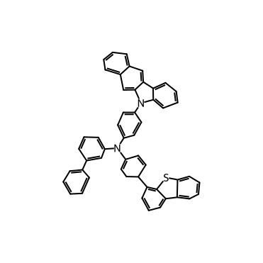 C1=CC(c2cccc3c2sc2ccccc23)CC=C1N(c1ccc(-n2c3ccccc3c3cc4ccccc4cc32)cc1)c1cccc(-c2ccccc2)c1